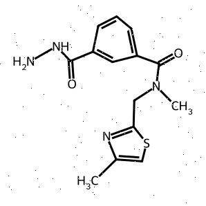 Cc1csc(CN(C)C(=O)c2cccc(C(=O)NN)c2)n1